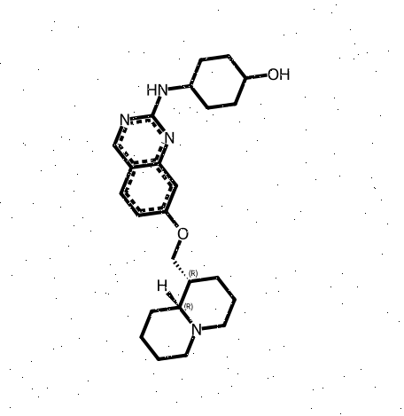 OC1CCC(Nc2ncc3ccc(OC[C@@H]4CCCN5CCCC[C@H]45)cc3n2)CC1